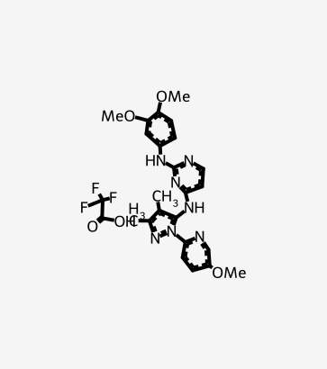 COc1ccc(-n2nc(C)c(C)c2Nc2ccnc(Nc3ccc(OC)c(OC)c3)n2)nc1.O=C(O)C(F)(F)F